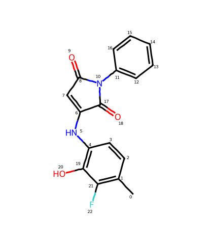 Cc1ccc(NC2=CC(=O)N(c3ccccc3)C2=O)c(O)c1F